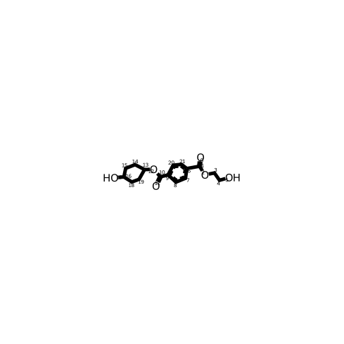 O=C(OCCO)c1ccc(C(=O)OC2CCC(O)CC2)cc1